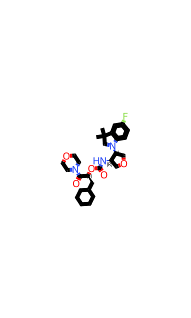 CC1(C)CN([C@H]2COC[C@@H]2NC(=O)O[C@@H](CC2CCCCC2)C(=O)N2CCOCC2)c2ccc(F)cc21